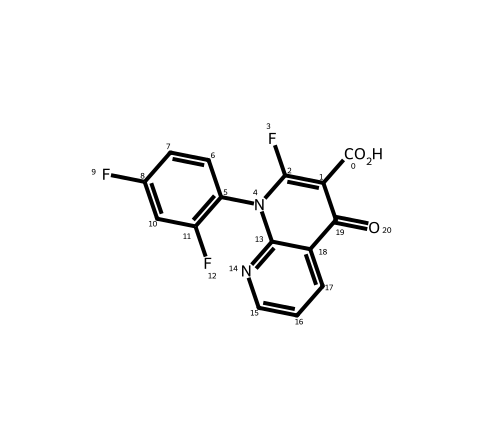 O=C(O)c1c(F)n(-c2ccc(F)cc2F)c2ncccc2c1=O